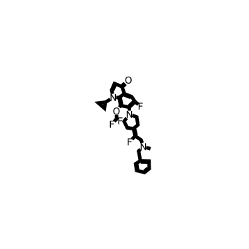 CN(CC(F)=C1CCN(c2c(F)cc3c(=O)ccn(C4CC4)c3c2OC(F)F)CC1)Cc1ccccc1